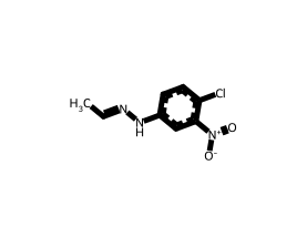 CC=NNc1ccc(Cl)c([N+](=O)[O-])c1